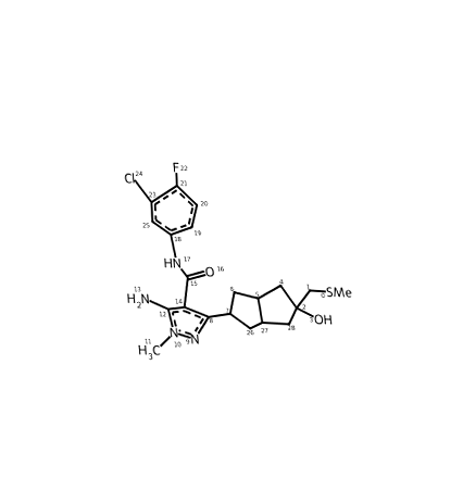 CSCC1(O)CC2CC(c3nn(C)c(N)c3C(=O)Nc3ccc(F)c(Cl)c3)CC2C1